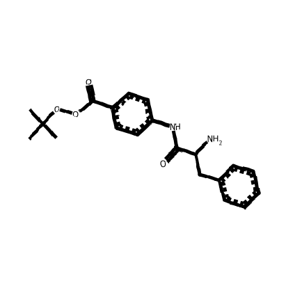 CC(C)(C)OOC(=O)c1ccc(NC(=O)C(N)Cc2ccccc2)cc1